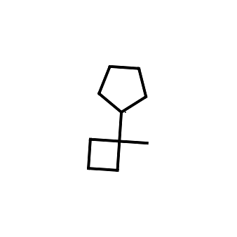 CC1([C]2CCCC2)CCC1